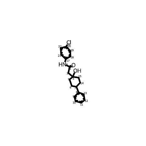 O=C(CC1(O)CCC(c2ccccc2)CC1)Nc1ccc(Cl)cc1